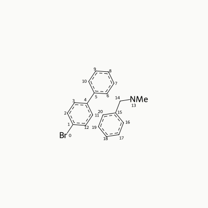 Brc1ccc(-c2ccccc2)cc1.CNCc1ccccc1